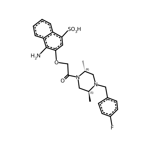 C[C@@H]1CN(Cc2ccc(F)cc2)[C@@H](C)CN1C(=O)COc1cc(S(=O)(=O)O)c2ccccc2c1N